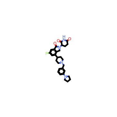 O=C1CCC(N2Cc3c(cc(F)cc3C3CCN(Cc4cccc(N5CCCC5)c4)CC3)C2=O)C(=O)N1